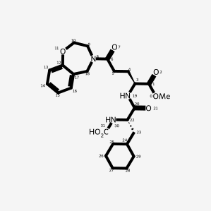 COC(=O)[C@H](CCC(=O)N1CCOc2ccccc2C1)NC(=O)[C@H](CC1CCCCC1)NC(=O)O